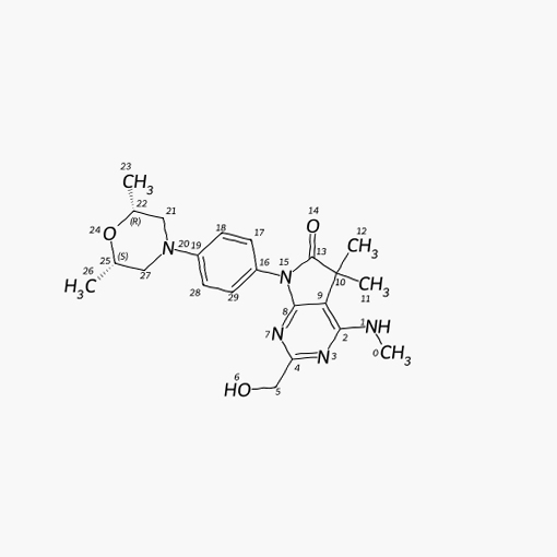 CNc1nc(CO)nc2c1C(C)(C)C(=O)N2c1ccc(N2C[C@@H](C)O[C@@H](C)C2)cc1